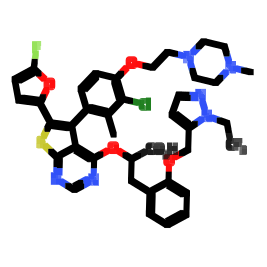 Cc1c(-c2c(-c3ccc(F)o3)sc3ncnc(OC(Cc4ccccc4OCc4ccnn4CC(F)(F)F)C(=O)O)c23)ccc(OCCN2CCN(C)CC2)c1Cl